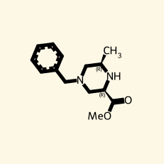 COC(=O)[C@H]1CN(Cc2ccccc2)C[C@@H](C)N1